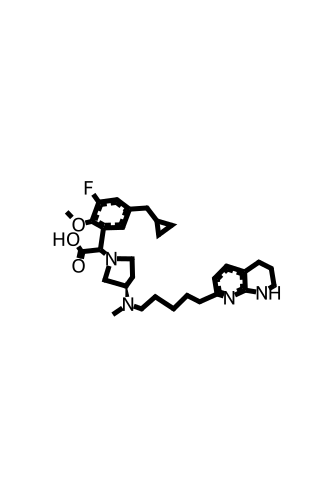 COc1c(F)cc(CC2CC2)cc1C(C(=O)O)N1CC[C@@H](N(C)CCCCCc2ccc3c(n2)NCCC3)C1